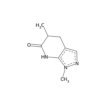 CC1Cc2cnn(C)c2NC1=O